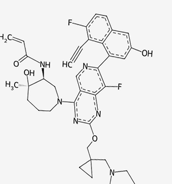 C#Cc1c(F)ccc2cc(O)cc(-c3ncc4c(N5CCC[C@@](C)(O)[C@@H](NC(=O)C=C)C5)nc(OCC5(CN6CCOCC6)CC5)nc4c3F)c12